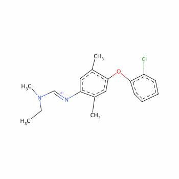 CCN(C)/C=N/c1cc(C)c(Oc2ccccc2Cl)cc1C